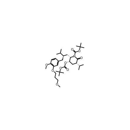 COCCCOc1cc(C[C@H](C[C@H]2[C@@H](OC(=O)OC(C)(C)C)C[C@@H](C(C)C)C(=O)N2C(=O)OC(C)(C)C)C(C)C)ccc1OC